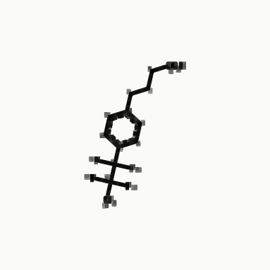 O=C(O)CCCc1ccc(C(F)(F)C(F)(F)C(F)(F)F)cc1